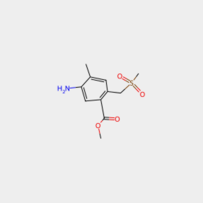 COC(=O)c1cc(N)c(C)cc1CS(C)(=O)=O